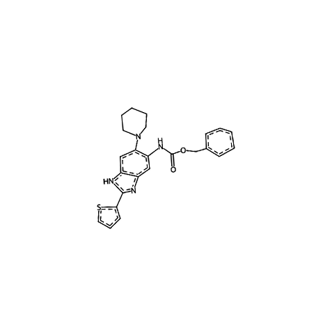 O=C(Nc1cc2nc(-c3cccs3)[nH]c2cc1N1CCCCC1)OCc1ccccc1